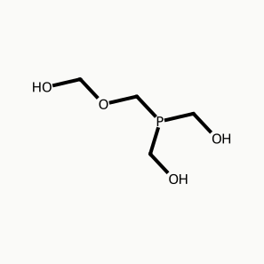 OCOCP(CO)CO